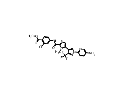 COC(=O)c1ccc(NC(=O)c2ncc(-c3cn(-c4ccc(N)cn4)nc3C(F)(F)F)n2C)cc1Cl